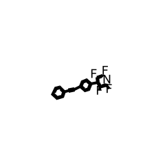 Fc1nc(F)c(F)c(-c2ccc(C#Cc3ccccc3)cc2)c1F